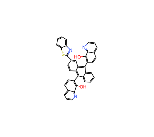 Oc1c(-c2c3ccccc3c(-c3ccc4cccnc4c3O)c3cc(-c4nc5ccccc5s4)ccc23)ccc2cccnc12